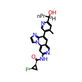 [2H][C@@](O)(CCC)c1cc(C)c(-c2cc3cnc(NC(=O)[C@H]4C[C@H]4F)cc3n3ccnc23)cn1